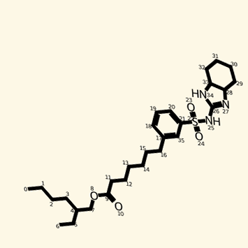 CCCCC(CC)COC(=O)CCCCCCc1cccc(S(=O)(=O)NC2=NC3CCCCC3N2)c1